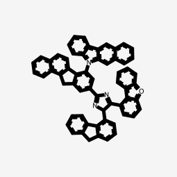 c1ccc2c(c1)Cc1cccc(C3N=C(c4cc5c(c(-n6c7ccccc7c7cc8ccccc8cc76)c4)-c4ccc6ccccc6c4C5)N=C3c3cccc4oc5ccccc5c34)c1-2